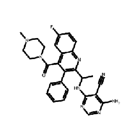 CC(Nc1ncnc(N)c1C#N)c1nc2ccc(F)cc2c(C(=O)N2CCN(C)CC2)c1-c1ccccc1